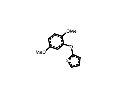 COc1ccc(OC)c(Oc2cc[c]s2)c1